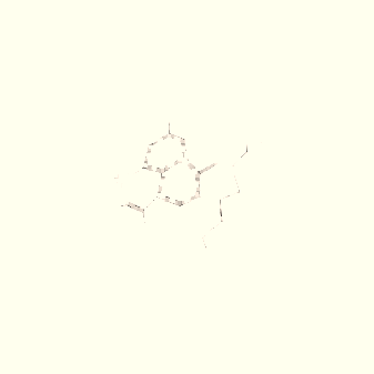 CCCCCCCC.Cc1cc(F)cn2c(=O)ccc(C(=O)O)c12